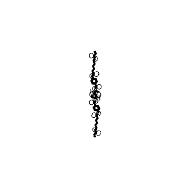 C=CC(=O)OCCCCCC(=O)Oc1ccc(C(=O)O[C@@H]2CO[C@H]3[C@@H]2OC[C@H]3OC(=O)c2ccc(OC(=O)CCCCCOC(=O)C=C)cc2)cc1